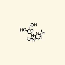 COc1nc2cnc(N(C)C)nc2n1[C@H]1C[C@@H](O)[C@H](CO)O1